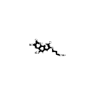 COCCCOc1cc2c(nc1Cl)-c1[nH]c(=O)c(C#N)cc1C(C(C)(C)C)C2